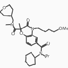 COCCCCN1C(=O)C(C)(C(=O)N(C)CC2CCOCC2)Oc2ccc(C(=O)N(C(C)C)C3CCCCC3)cc21